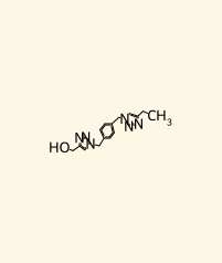 CCc1cn(Cc2ccc(Cn3cc(CO)nn3)cc2)nn1